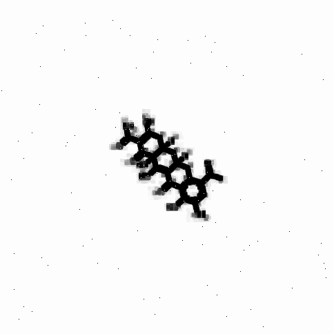 CC(=O)c1cc(N)c(O)c2c1C[C@H]1C[C@H]3CC(O)=C(C(N)=O)C(=O)[C@@]3(O)C(O)=C1C2=O